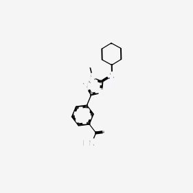 Cn1nc(-c2cccc(C(N)=O)c2)s/c1=N/C1CCCCC1